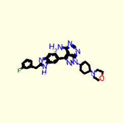 Nc1ncnc2c1c(-c1ccc3nc(Cc4cccc(F)c4)[nH]c3c1)nn2[C@H]1CC[C@H](N2CCOCC2)CC1